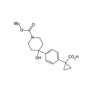 CC(C)(C)OC(=O)N1CCC(O)(c2ccc(C3(C(=O)O)CC3)cc2)CC1